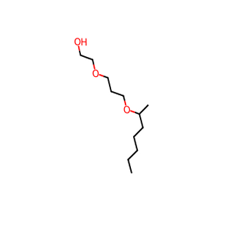 CCCCCC(C)OCCCOCCO